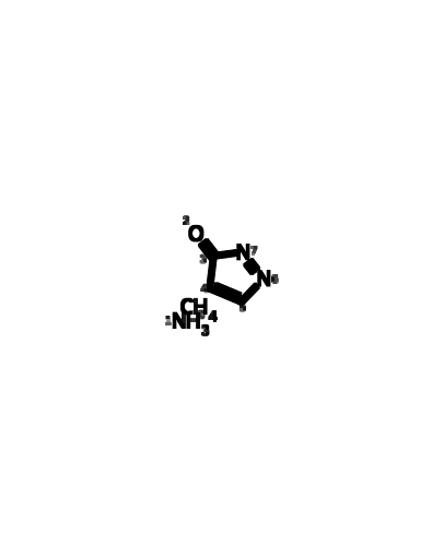 C.N.O=C1C=CN=N1